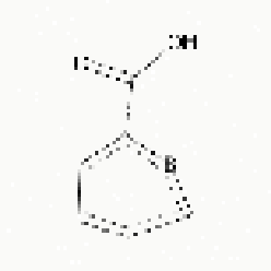 O=C(O)c1bcccc1